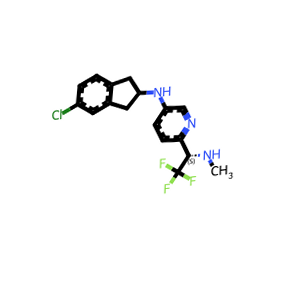 CN[C@@H](c1ccc(NC2Cc3ccc(Cl)cc3C2)cn1)C(F)(F)F